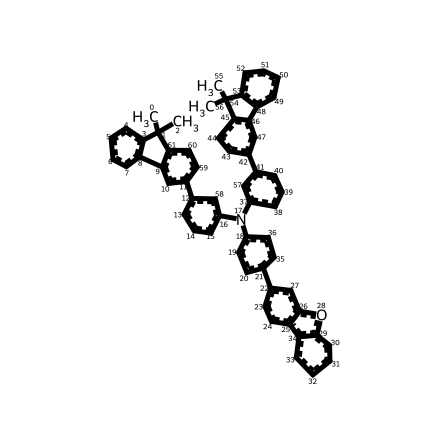 CC1(C)c2ccccc2-c2cc(-c3cccc(N(c4ccc(-c5ccc6c(c5)oc5ccccc56)cc4)c4cccc(-c5ccc6c(c5)-c5ccccc5C6(C)C)c4)c3)ccc21